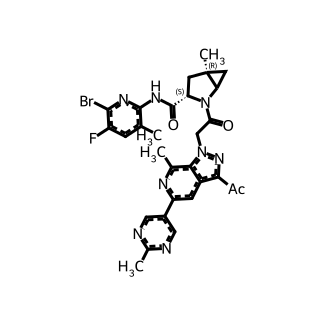 CC(=O)c1nn(CC(=O)N2C3C[C@]3(C)C[C@H]2C(=O)Nc2nc(Br)c(F)cc2C)c2c(C)nc(-c3cnc(C)nc3)cc12